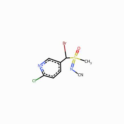 CS(=O)(=NC#N)C(Br)c1ccc(Cl)nc1